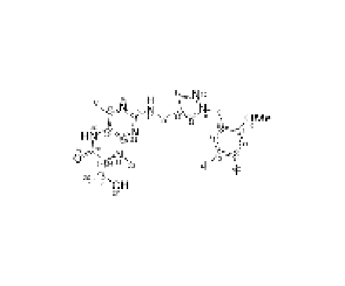 COc1cc(F)c(F)cc1Cn1cc(CNc2nc(C)c3c(n2)N(C)[C@@H]([C@@H](C)O)C(=O)N3)cn1